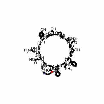 C[C@H]1C(=O)N[C@@H](CC(=O)O)C(=O)N2CCC[C@H]2C(=O)N[C@@H](CN)C(=O)N[C@@H](CCC(=O)O)C(=O)N2C[C@H](O)C[C@H]2C(=O)N[C@@H](Cc2c[nH]c3ccccc23)C(=O)N[C@@H](CCN)C(=O)N[C@@H](Cc2cn(CC(=O)O)c3ccccc23)C(=O)N(C)C2CCCCC/C=C\CCCC[C@@H](C(=O)N[C@@H](CCC(=O)O)C(=O)N[C@H](C(=O)NCC(N)=O)CSCC(=O)N[C@@H](Cc3ccc(O)cc3)C(=O)N1C)N(C)C2=O